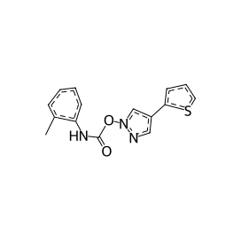 Cc1ccccc1NC(=O)On1cc(-c2cccs2)cn1